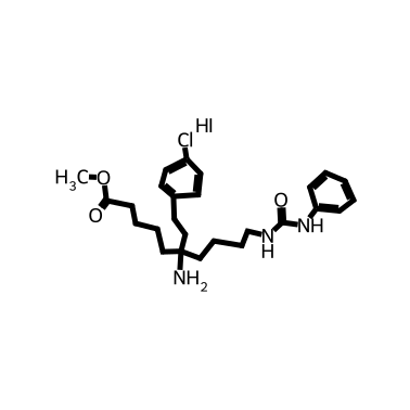 COC(=O)CCCCC(N)(CCCCNC(=O)Nc1ccccc1)CCc1ccc(Cl)cc1.I